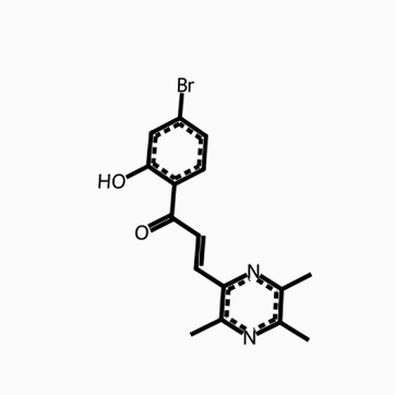 Cc1nc(C)c(C=CC(=O)c2ccc(Br)cc2O)nc1C